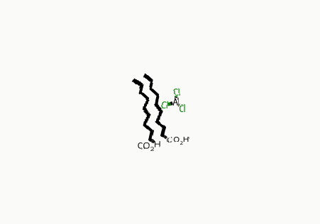 C=CCCCCCCCC(=O)O.C=CCCCCCCCC(=O)O.[Cl][Al]([Cl])[Cl]